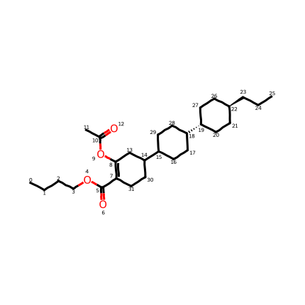 CCCCOC(=O)C1=C(OC(C)=O)CC(C2CCC([C@H]3CC[C@H](CCC)CC3)CC2)CC1